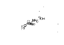 [N-]=[N+]=N[C@H](CCCCNC(=O)CCC(=O)O)C(=O)NCc1ccc(C(F)(F)F)cc1